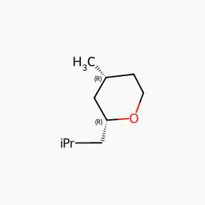 CC(C)C[C@@H]1C[C@H](C)CCO1